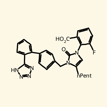 CCCCCc1cn(-c2c(F)cccc2C(=O)O)c(=O)n1Cc1ccc(-c2ccccc2-c2nnn[nH]2)cc1